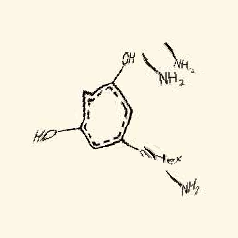 CCCCCCc1cc(O)cc(O)c1.CN.CN.CN